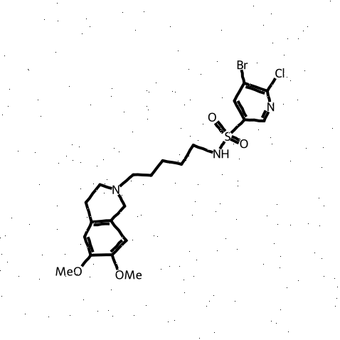 COc1cc2c(cc1OC)CN(CCCCCNS(=O)(=O)c1cnc(Cl)c(Br)c1)CC2